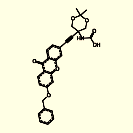 CC1(C)OCC(C#Cc2ccc3c(=O)c4ccc(OCc5ccccc5)cc4oc3c2)(NC(=O)O)CO1